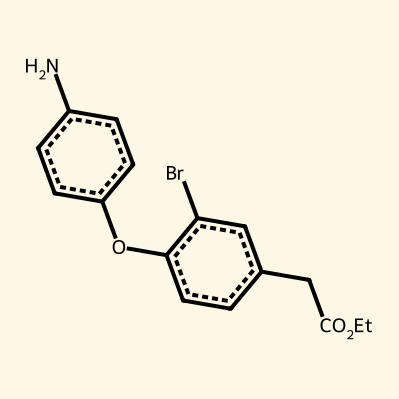 CCOC(=O)Cc1ccc(Oc2ccc(N)cc2)c(Br)c1